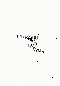 Cc1c(Cn2c(=O)[nH]c3cnc(NC[C@@H]4CCNC4)nc32)cccc1-c1cccc(OC(F)(F)F)c1